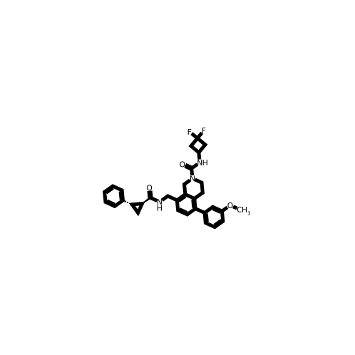 COc1cccc(-c2ccc(CNC(=O)[C@H]3C[C@@H]3c3ccccc3)c3c2CCN(C(=O)NC2CC(F)(F)C2)C3)c1